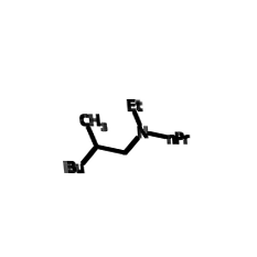 CCCN(CC)CC(C)C(C)CC